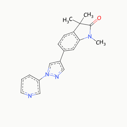 CN1C(=O)C(C)(C)c2ccc(-c3cnn(-c4cccnc4)c3)cc21